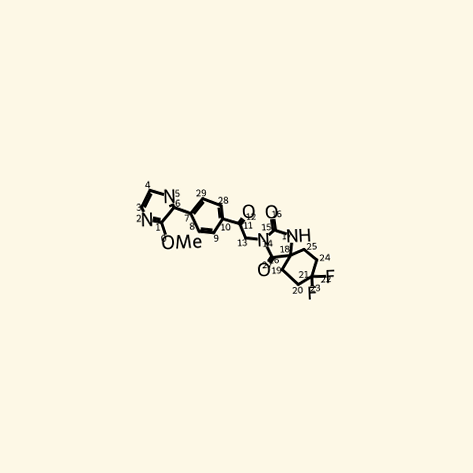 COc1nccnc1-c1ccc(C(=O)CN2C(=O)NC3(CCC(F)(F)CC3)C2=O)cc1